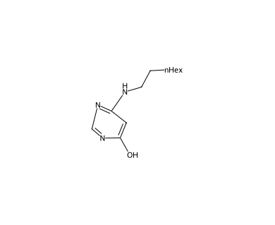 CCCCCCCCNc1cc(O)ncn1